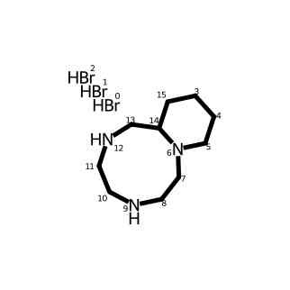 Br.Br.Br.C1CCN2CCNCCNCC2C1